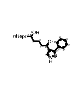 CCCCCCCC(O)CCCC(=O)c1c[nH]nc1-c1ccccc1